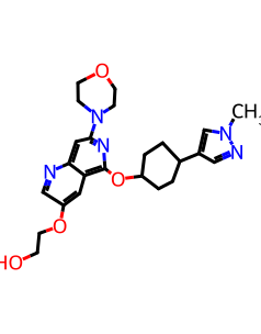 Cn1cc(C2CCC(Oc3nc(N4CCOCC4)cc4ncc(OCCO)cc34)CC2)cn1